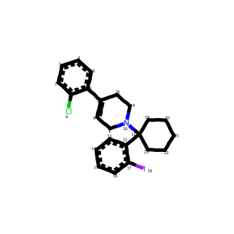 Clc1ccccc1C1=CCN(C2(c3ccccc3I)CCCCC2)CC1